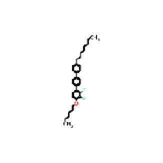 CCCCCCCCc1ccc(-c2ccc(-c3ccc(OCCCCCC)c(F)c3F)cc2)cc1